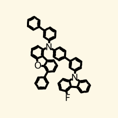 Fc1cccc2c1c1ccccc1n2-c1cccc(-c2ccc(N(c3cccc(-c4ccccc4)c3)c3cccc4oc5c(-c6ccccc6)cccc5c34)cc2)c1